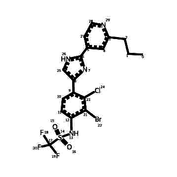 CCCc1cc(-c2nc(-c3ccc(NS(=O)(=O)C(F)(F)F)c(Br)c3Cl)c[nH]2)ccn1